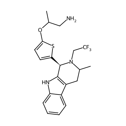 CC(CN)Oc1ccc([C@@H]2c3[nH]c4ccccc4c3CC(C)N2CC(F)(F)F)s1